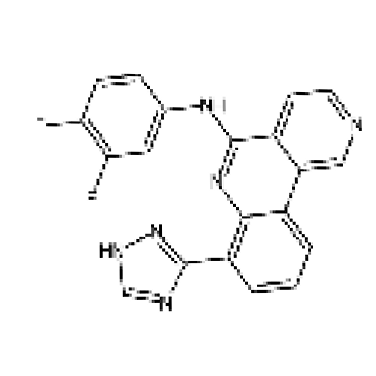 Fc1ccc(Nc2nc3c(-c4nc[nH]n4)cccc3c3cnccc23)cc1F